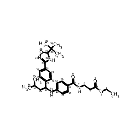 CCOC(=O)CCNC(=O)c1ccc(NC(CC(C)C)c2ccc(C3=NOC(C(C)(C)C)N3)cc2)cc1